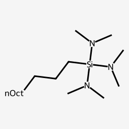 CCCCCCCCCCC[Si](N(C)C)(N(C)C)N(C)C